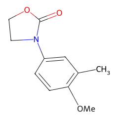 COc1ccc(N2CCOC2=O)cc1C